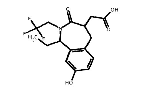 CCC1c2cc(O)ccc2CC(CC(=O)O)C(=O)N1CC(F)(F)F